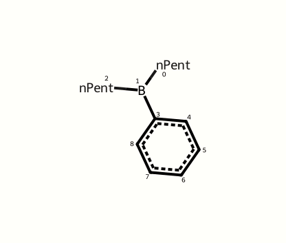 CCCCCB(CCCCC)c1ccccc1